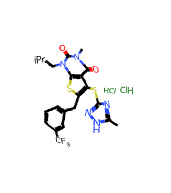 Cc1nc(Sc2c(Cc3cccc(C(F)(F)F)c3)sc3c2c(=O)n(C)c(=O)n3CC(C)C)n[nH]1.Cl.Cl